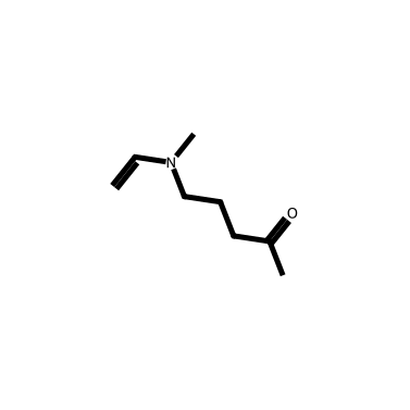 C=CN(C)CCCC(C)=O